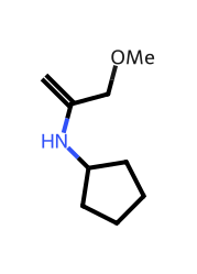 C=C(COC)NC1CCCC1